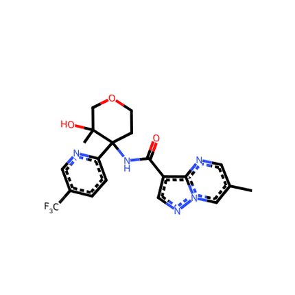 Cc1cnc2c(C(=O)NC3(c4ccc(C(F)(F)F)cn4)CCOCC3(C)O)cnn2c1